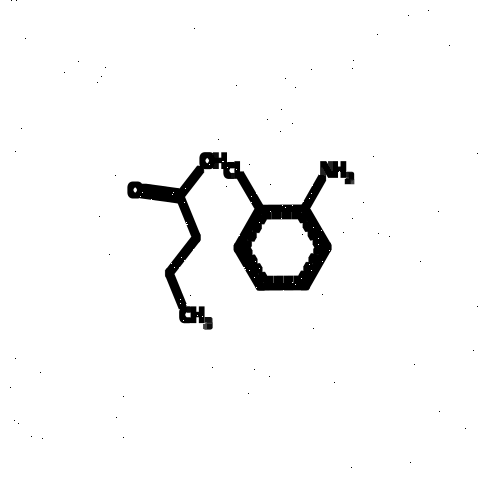 CCCC(=O)O.Nc1ccccc1Cl